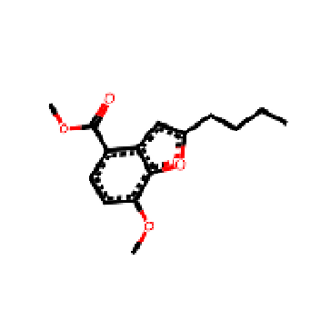 CCCCc1cc2c(C(=O)OC)ccc(OC)c2o1